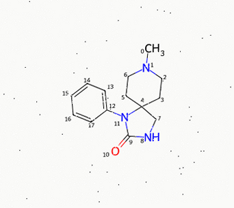 CN1CCC2(CC1)CNC(=O)N2c1ccccc1